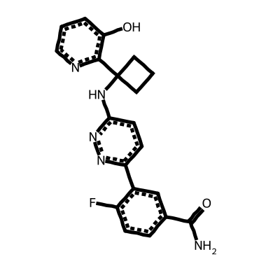 NC(=O)c1ccc(F)c(-c2ccc(NC3(c4ncccc4O)CCC3)nn2)c1